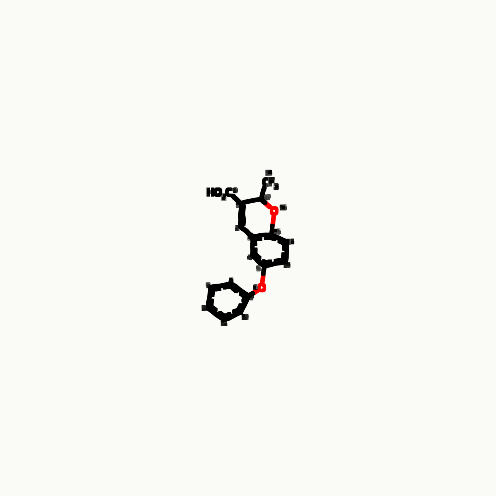 O=C(O)C1=Cc2cc(Oc3ccccc3)ccc2OC1C(F)(F)F